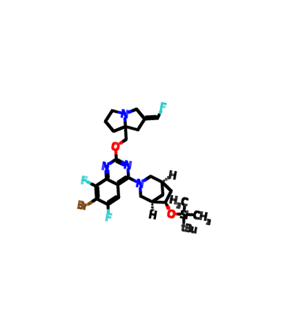 CC(C)(C)[Si](C)(C)O[C@@H]1C[C@H]2C[C@@H]1CN(c1nc(OCC34CCCN3C/C(=C\F)C4)nc3c(F)c(Br)c(F)cc13)C2